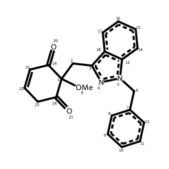 COC1(Cc2nn(Cc3ccccc3)c3ccccc23)C(=O)C=CCC1=O